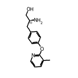 Cc1cccnc1Oc1ccc(C[C@H](N)CO)cc1